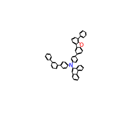 c1ccc(-c2cccc(-c3ccc(N(c4ccc(-c5ccc6oc7c(-c8ccccc8)cccc7c6c5)cc4)c4cc5ccccc5c5ccccc45)cc3)c2)cc1